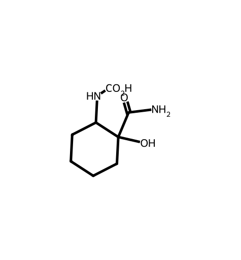 NC(=O)C1(O)CCCCC1NC(=O)O